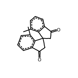 Cc1cccc2c1C1(CC2=O)CC(=O)c2cccc(C)c21